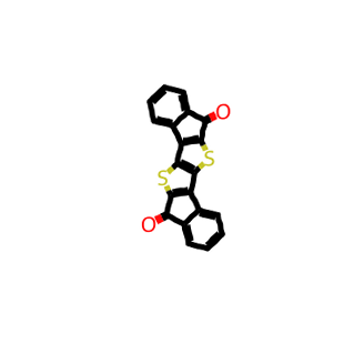 O=c1c2ccccc2c2c1sc1c2sc2c(=O)c3ccccc3c21